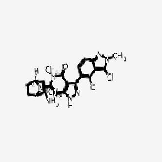 Cn1nc2ccc(-c3n[nH]c4nc(N5C6CC[C@H]5C[C@@]6(C)N)n(C)c(=O)c34)c(Cl)c2c1Cl